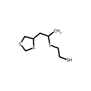 CC(CC1CSCS1)SCCS